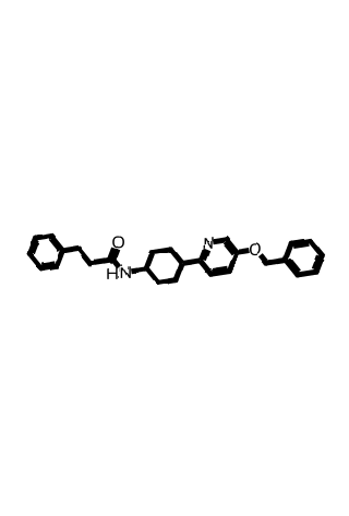 O=C(CCc1ccccc1)NC1CCC(c2ccc(OCc3ccccc3)cn2)CC1